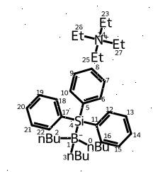 CCCC[B-](CCCC)(CCCC)[Si](c1ccccc1)(c1ccccc1)c1ccccc1.CC[N+](CC)(CC)CC